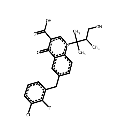 CC(CO)C(C)(C)n1cc(C(=O)O)c(=O)c2cc(Cc3cccc(Cl)c3F)ccc21